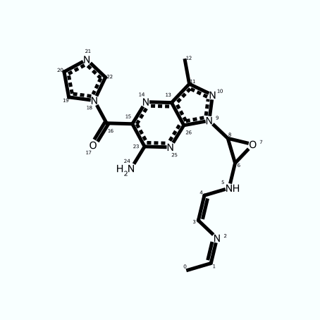 C/C=N\C=C/NC1OC1n1nc(C)c2nc(C(=O)n3ccnc3)c(N)nc21